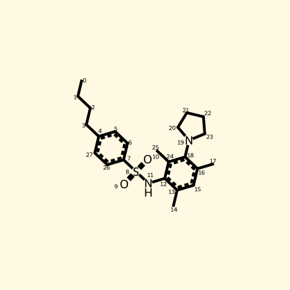 CCCCc1ccc(S(=O)(=O)Nc2c(C)cc(C)c(N3CCCC3)c2C)cc1